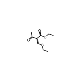 CCO/C=C(/C(C)=O)C(=O)OCC